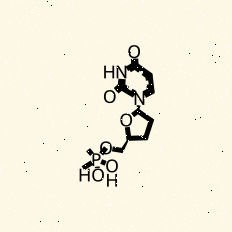 CP(C)(O)(O)OC[C@@H]1CC[C@H](n2ccc(=O)[nH]c2=O)O1